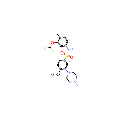 COc1ccc(S(=O)(=O)Nc2ccc(C)c(OC(F)F)c2)cc1N1CCN(C)CC1